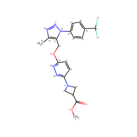 COC(=O)C1CN(c2ccc(OCc3c(C)nnn3-c3ccc(C(F)F)cc3)nn2)C1